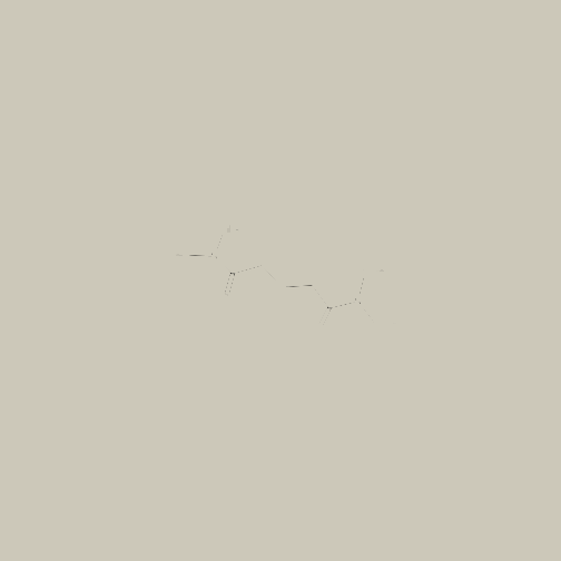 CCCCCCCCCCN(CCCCCCCCCC)C(=O)COCC(=O)N(CCCCCCCCCC)CCCCCCCCCC